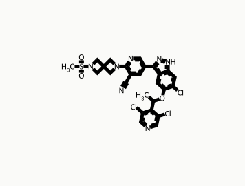 CC(Oc1cc2c(-c3cnc(N4CC5(C4)CN(S(C)(=O)=O)C5)c(C#N)c3)n[nH]c2cc1Cl)c1c(Cl)cncc1Cl